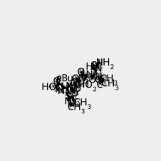 CCCCOc1cc(-c2nn(S(=O)(=O)NC(=O)N3C[C@H](NC(=O)/C(=N\OC(C)(C)C(=O)O)c4csc(N)n4)C3=O)c(=O)n2Cc2cc(C)n(C)n2)ncc1O